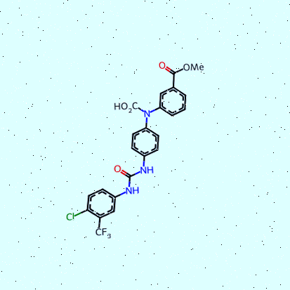 COC(=O)c1cccc(N(C(=O)O)c2ccc(NC(=O)Nc3ccc(Cl)c(C(F)(F)F)c3)cc2)c1